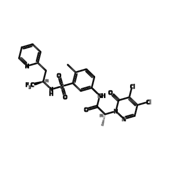 Cc1ccc(NC(=O)[C@@H](C)n2ncc(Cl)c(Cl)c2=O)cc1S(=O)(=O)N[C@H](Cc1ccccn1)C(F)(F)F